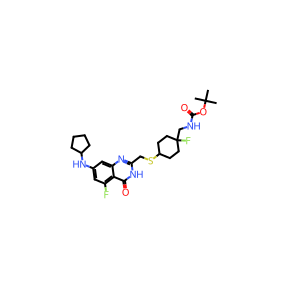 CC(C)(C)OC(=O)NCC1(F)CCC(SCc2nc3cc(NC4CCCC4)cc(F)c3c(=O)[nH]2)CC1